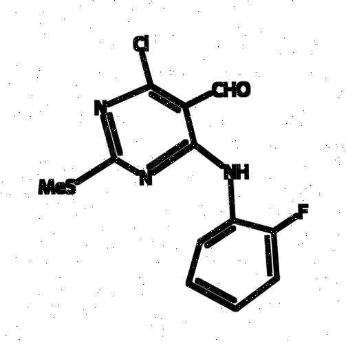 CSc1nc(Cl)c(C=O)c(Nc2ccccc2F)n1